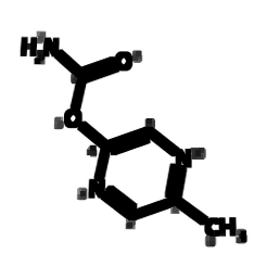 Cc1cnc(OC(N)=O)cn1